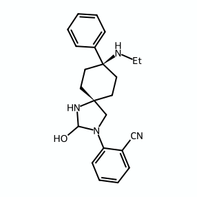 CCN[C@]1(c2ccccc2)CC[C@@]2(CC1)CN(c1ccccc1C#N)C(O)N2